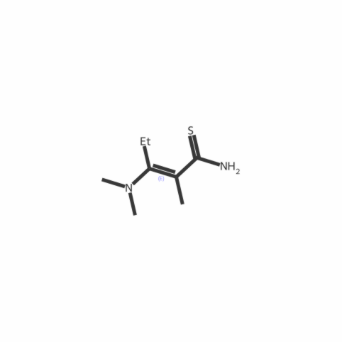 CC/C(=C(/C)C(N)=S)N(C)C